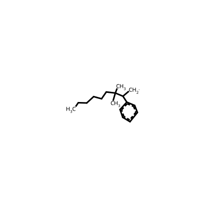 [CH2]C(c1ccccc1)C(C)(C)CCCCCC